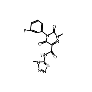 Cn1nnnc1NC(=O)c1nn(C)c(=O)n(-c2cccc(F)c2)c1=O